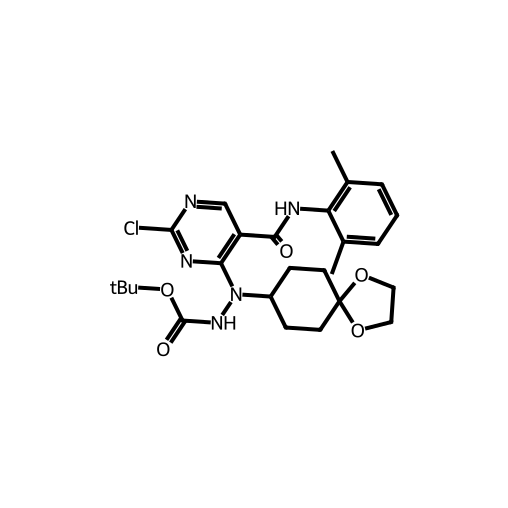 Cc1cccc(C)c1NC(=O)c1cnc(Cl)nc1N(NC(=O)OC(C)(C)C)C1CCC2(CC1)OCCO2